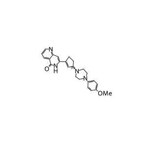 COc1ccc(N2CCN([C@H]3C=C(c4cc5ncccc5c(=O)[nH]4)CC3)CC2)cc1